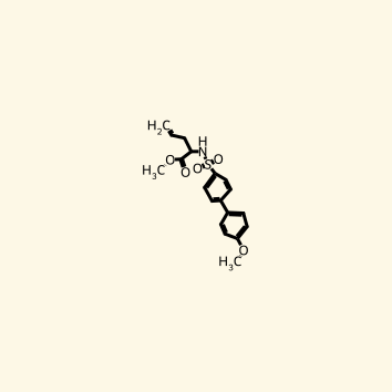 C=CCC(NS(=O)(=O)c1ccc(-c2ccc(OC)cc2)cc1)C(=O)OC